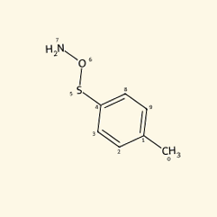 Cc1ccc(SON)cc1